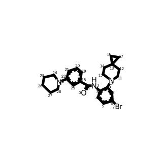 O=C(Nc1ccc(Br)cc1N1CCC2(CC1)CC2)c1cccc(N2CCCCC2)c1